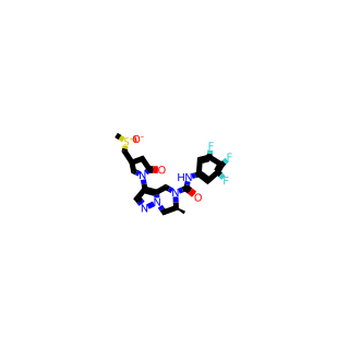 C[C@H]1Cn2ncc(N3CC(C[S+](C)[O-])CC3=O)c2CN1C(=O)Nc1cc(F)c(F)c(F)c1